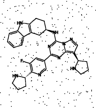 Fc1cc(-c2nc(N[C@@H]3CCc4[nH]c5ccccc5c4C3)n3ncc([C@H]4CCCN4)c3n2)cnc1[C@@H]1CCCN1